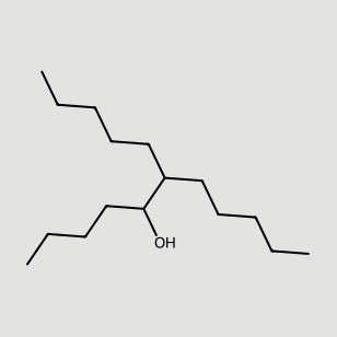 CCCCCC(CCCCC)C(O)CCCC